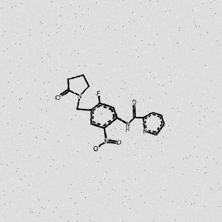 O=C(Nc1cc(F)c(CN2CCCC2=O)cc1[N+](=O)[O-])c1ccccn1